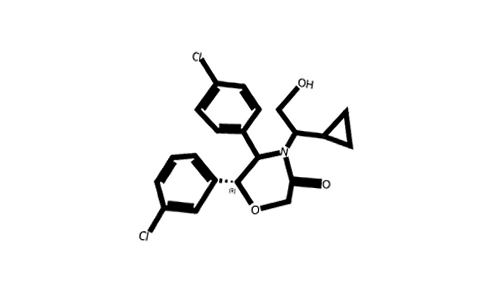 O=C1CO[C@H](c2cccc(Cl)c2)C(c2ccc(Cl)cc2)N1C(CO)C1CC1